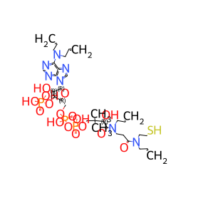 C=CCN(CCS)C(=O)CCN(CC=C)C(=O)[C@H](O)C(C)(C)COP(=O)(O)OP(=O)(O)OC[C@H]1O[C@@H](n2cnc3c(N(CC=C)CC=C)ncnc32)[C@H](O)[C@@H]1OP(=O)(O)O